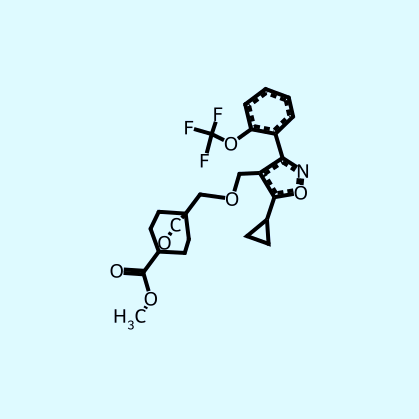 COC(=O)C12CCC(COCc3c(-c4ccccc4OC(F)(F)F)noc3C3CC3)(CC1)CO2